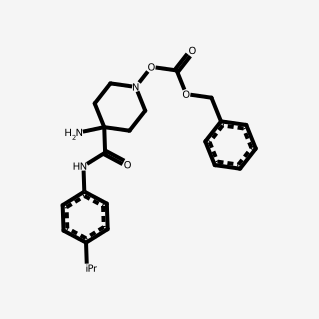 CC(C)c1ccc(NC(=O)C2(N)CCN(OC(=O)OCc3ccccc3)CC2)cc1